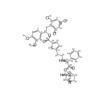 COc1ccc(C(Cc2c(Cl)c[n+]([O-])cc2Cl)OC(=O)c2ccc(CCN[C@H](C(=O)O[C@H]3CN4CCC3CC4)c3ccccc3)s2)cc1OC